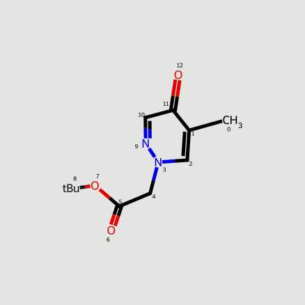 Cc1cn(CC(=O)OC(C)(C)C)ncc1=O